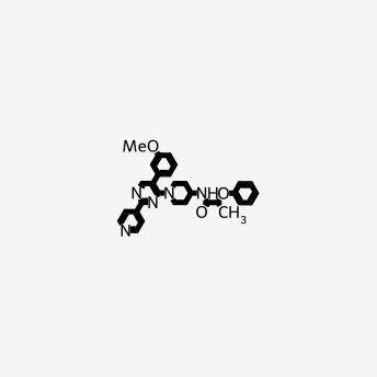 COc1cccc(-c2cnc(-c3ccncc3)nc2N2CCC(NC(=O)C(C)Oc3ccccc3)CC2)c1